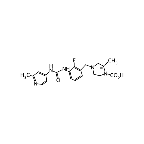 Cc1cc(NC(=O)Nc2cccc(CN3CCN(C(=O)O)[C@H](C)C3)c2F)ccn1